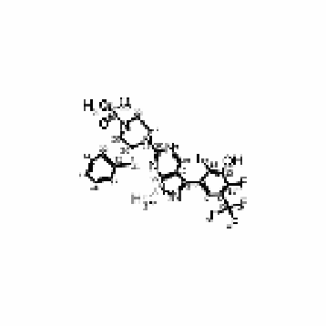 Cn1nc(-c2cc(C(F)(F)F)c(F)c(O)c2F)c2cnc(N3CCN(S(C)(=O)=O)C[C@H]3Cc3ccccc3)nc21